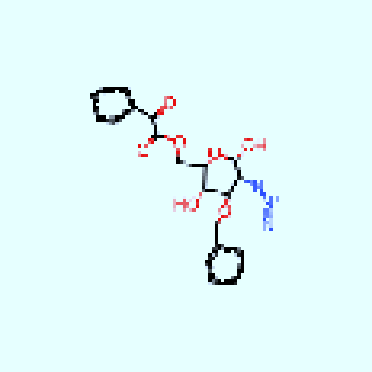 [N-]=[N+]=NC1C(OCc2ccccc2)[C@H](O)C(COC(=O)C(=O)c2ccccc2)O[C@H]1O